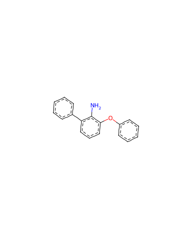 Nc1c(Oc2ccccc2)cccc1-c1ccccc1